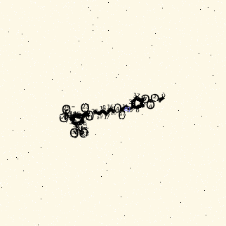 CCOC(=O)Oc1ccc(/C=C/C(=O)OCCCCCCOC(=O)c2cc([N+](=O)[O-])cc([N+](=O)[O-])c2)cc1